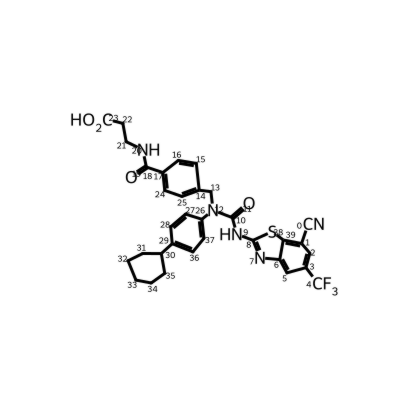 N#Cc1cc(C(F)(F)F)cc2nc(NC(=O)N(Cc3ccc(C(=O)NCCC(=O)O)cc3)c3ccc(C4CCCCC4)cc3)sc12